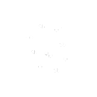 [O]1[Sb]2[O][Sb]3[O][Sb]1[O][Sb]([O]2)[O]3